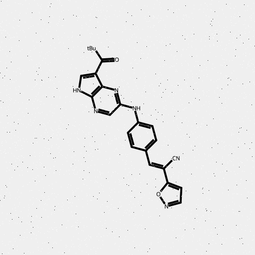 CC(C)(C)C(=O)c1c[nH]c2ncc(Nc3ccc(/C=C(\C#N)c4ccno4)cc3)nc12